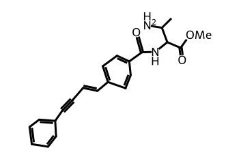 COC(=O)C(NC(=O)c1ccc(C=CC#Cc2ccccc2)cc1)C(C)N